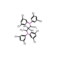 CCCC(C(C)C)(C(C)P(c1cc(CC)cc(CC)c1)c1cc(CC)cc(CC)c1)C(C)P(c1cc(CC)cc(CC)c1)c1cc(CC)cc(CC)c1